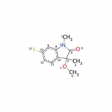 COC1(C)C(=O)N(C)c2cc(F)ccc21